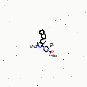 CSc1nc2c(c(N3CCN(C(=O)OC(C)(C)C)[C@@H](CC#N)C3)n1)CC[C@]1(CCc3ccccc3C1)C2